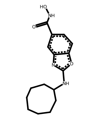 O=C(NO)c1ccc2oc(NC3CCCCCCC3)nc2c1